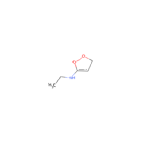 CCNC1=CCOO1